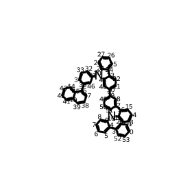 c1ccc(-c2ccccc2-n2c3ccccc3c3cc(-c4ccc5c6ccccc6n(-c6cccc(-c7cccc8ccccc78)c6)c5c4)ccc32)cc1